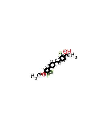 CCOc1ccc(C2CCC(CCc3ccc(C(C)O)c(F)c3)CC2)c(F)c1F